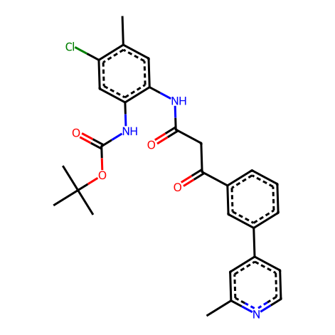 Cc1cc(-c2cccc(C(=O)CC(=O)Nc3cc(C)c(Cl)cc3NC(=O)OC(C)(C)C)c2)ccn1